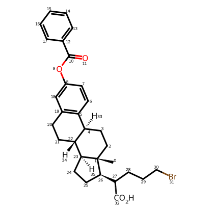 C[C@]12CC[C@@H]3c4ccc(OC(=O)c5ccccc5)cc4CC[C@H]3[C@@H]1CC[C@@H]2C(CCCBr)C(=O)O